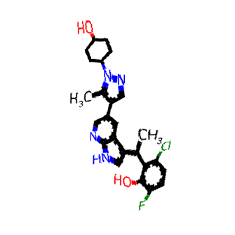 Cc1c(-c2cnc3[nH]cc(C(C)c4c(Cl)ccc(F)c4O)c3c2)cnn1C1CCC(O)CC1